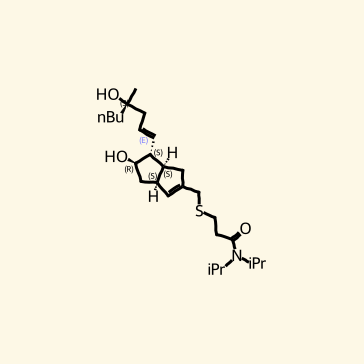 CCCC[C@](C)(O)C/C=C/[C@@H]1[C@H]2CC(CSCCC(=O)N(C(C)C)C(C)C)=C[C@H]2C[C@H]1O